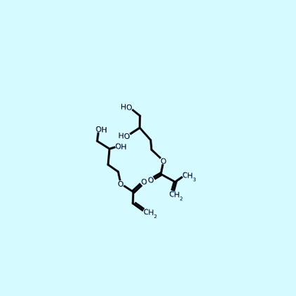 C=C(C)C(=O)OCCC(O)CO.C=CC(=O)OCCC(O)CO